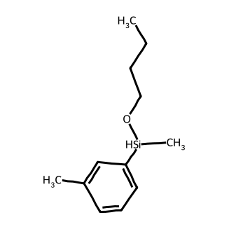 CCCCO[SiH](C)c1cccc(C)c1